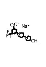 CC1CCN(C2CCN(c3cc(C(=O)[O-])cc(C(F)(F)F)c3)CC2)CC1.[Na+]